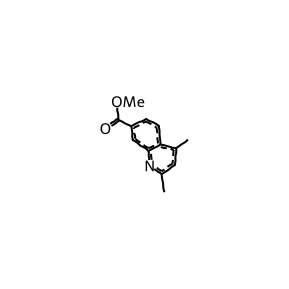 COC(=O)c1ccc2c(C)cc(C)nc2c1